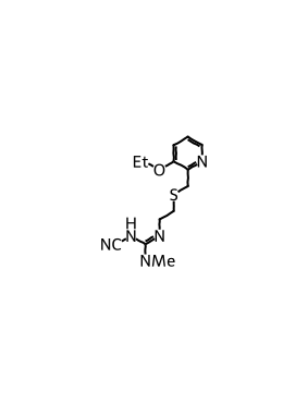 CCOc1cccnc1CSCC/N=C(/NC)NC#N